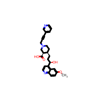 COc1ccc2nccc([C@H](O)CC[C@@H]3CCN(CC#Cc4cccnc4)C[C@@H]3C(=O)O)c2c1